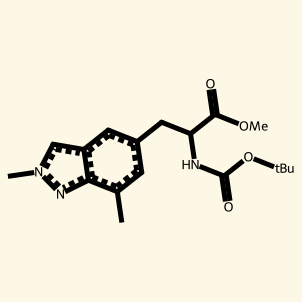 COC(=O)C(Cc1cc(C)c2nn(C)cc2c1)NC(=O)OC(C)(C)C